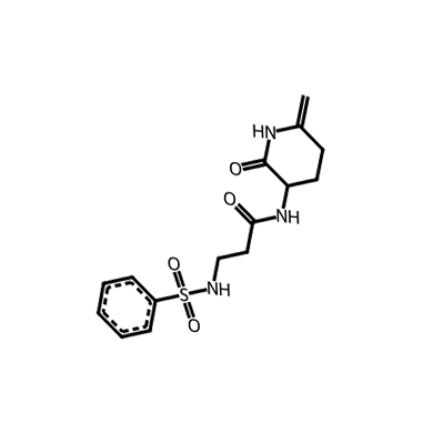 C=C1CCC(NC(=O)CCNS(=O)(=O)c2ccccc2)C(=O)N1